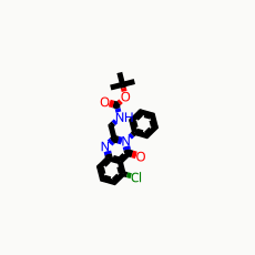 CC(C)(C)OC(=O)NCc1nc2cccc(Cl)c2c(=O)n1-c1ccccc1